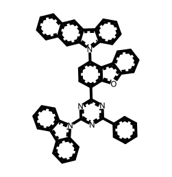 c1ccc(-c2nc(-c3ccc(-n4c5ccccc5c5cc6ccccc6cc54)c4c3oc3ccccc34)nc(-n3c4ccccc4c4ccccc43)n2)cc1